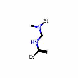 C=C(CC)NCN(C)CC